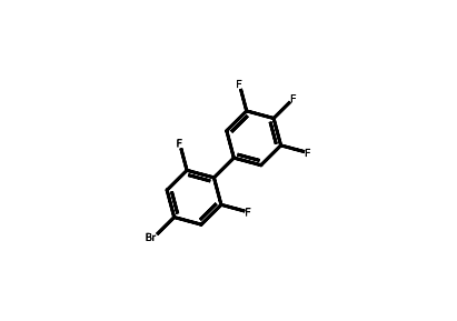 Fc1cc(-c2c(F)cc(Br)cc2F)cc(F)c1F